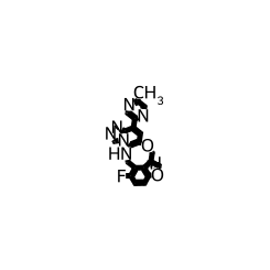 Cc1cnc(-c2cc3c(n4cnnc24)NCc2c(F)ccc4c2[C@@H](CO4)CO3)cn1